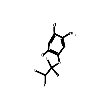 Nc1cc(OC(F)(F)C(F)F)c(Cl)cc1Cl